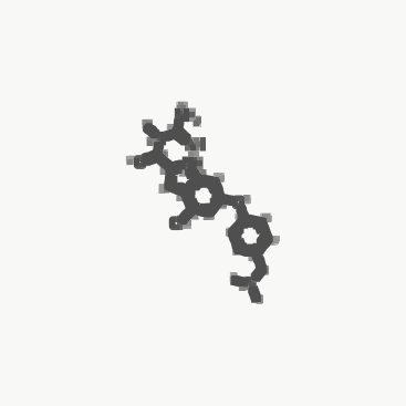 CN(C)Cc1ccc(Oc2cc(Cl)c3cc(C(=O)N(C)C(=N)N)[nH]c3c2)cc1